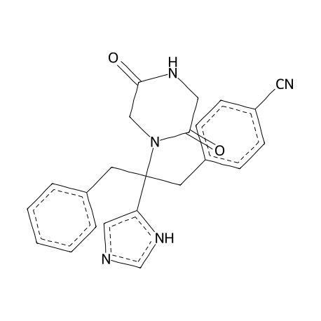 N#Cc1ccc(CC(Cc2ccccc2)(c2cnc[nH]2)N2CC(=O)NCC2=O)cc1